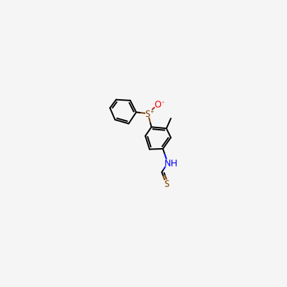 Cc1cc(NC=S)ccc1[S+]([O-])c1ccccc1